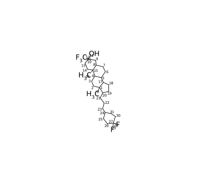 CC12CCC3C(CCC4C[C@](O)(C(F)(F)F)CCC43C)C1CCC2CCCC1CCC(F)(F)CC1